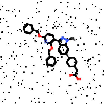 Cn1nc(-c2ccc(OCc3ccccc3)nc2OCc2ccccc2)c2ccc([C@H]3CC[C@H](CC(=O)O)CC3)cc21